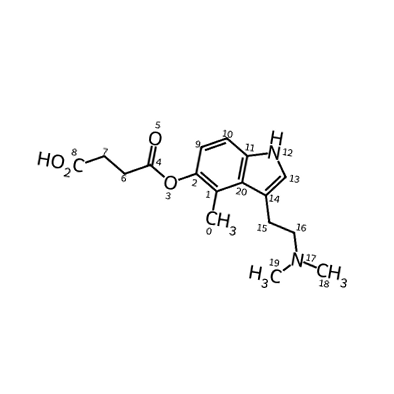 Cc1c(OC(=O)CCC(=O)O)ccc2[nH]cc(CCN(C)C)c12